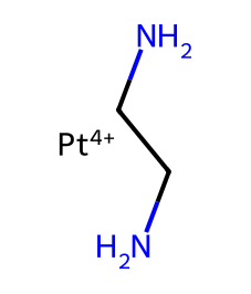 NCCN.[Pt+4]